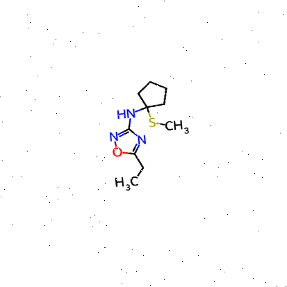 CCc1nc(NC2(SC)CCCC2)no1